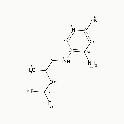 CC(CNc1cnc(C#N)cc1N)OC(F)F